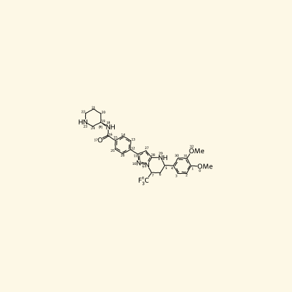 COc1ccc(C2CC(C(F)(F)F)n3nc(-c4ccc(C(=O)N[C@@H]5CCCNC5)cc4)cc3N2)cc1OC